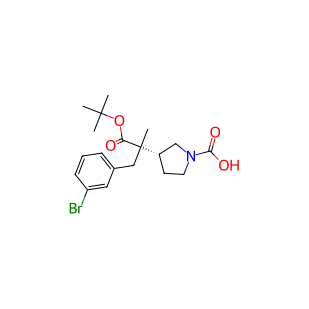 CC(C)(C)OC(=O)C(C)(Cc1cccc(Br)c1)[C@H]1CCN(C(=O)O)C1